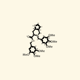 COc1cc(COC(=O)C2Cc3sccc3CN2Cc2cc(OC)c(OC)c(OC)c2)cc(OC)c1OC